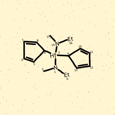 CC[N](C)[Hf]([CH]1C=CC=C1)([CH]1C=CC=C1)[N](C)CC